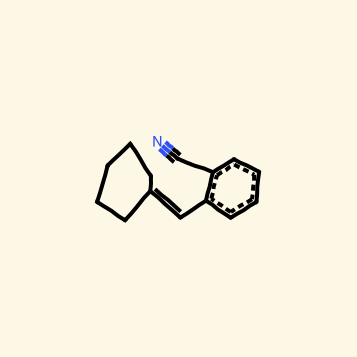 N#Cc1ccccc1C=C1CCCCC1